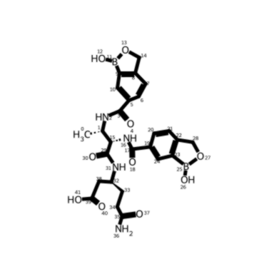 C[C@H](NC(=O)c1ccc2c(c1)B(O)OC2)[C@H](NC(=O)c1ccc2c(c1)B(O)OC2)C(=O)N[C@@H](CCC(N)=O)CC(=O)O